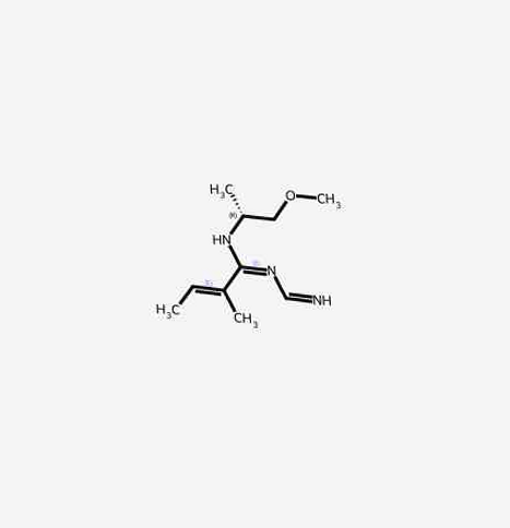 C/C=C(C)/C(=N\C=N)N[C@H](C)COC